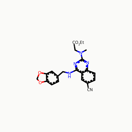 CCOC(=O)CN(C)c1nc(NCc2ccc3c(c2)OCO3)c2cc(C#N)ccc2n1